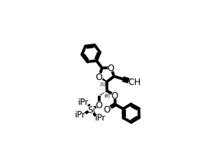 C#CC1OC(c2ccccc2)O[C@@H]1[C@@H](CO[Si](C(C)C)(C(C)C)C(C)C)OC(=O)c1ccccc1